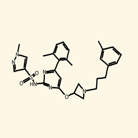 Cc1cccc(CCCN2CC(Oc3cc(-c4c(C)cccc4C)nc(NS(=O)(=O)c4cnn(C)c4)n3)C2)c1